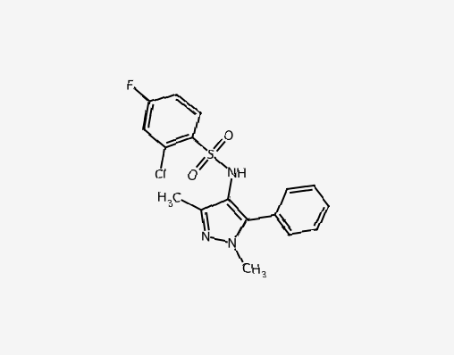 Cc1nn(C)c(-c2ccccc2)c1NS(=O)(=O)c1ccc(F)cc1Cl